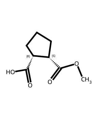 COC(=O)[C@H]1CCC[C@H]1C(=O)O